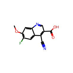 COc1cc2ncc(C(=O)O)c(C#N)c2cc1F